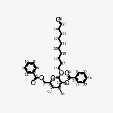 C[C@@H]1C(COC(=O)c2ccccc2)O[C@@H](OCCCCCCCCCC=O)C(OC(=O)c2ccccc2)[C@H]1C